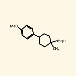 CCCCCCCC1(C)CCC(c2ccc(OC)cc2)CC1